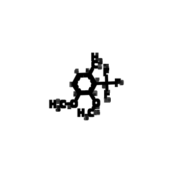 COc1ccc(C)c(C(F)(F)F)c1OC